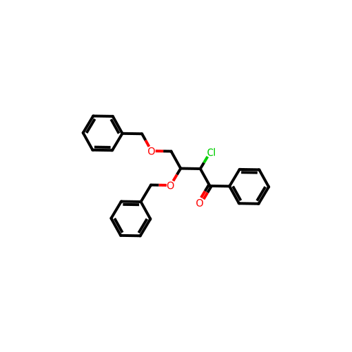 O=C(c1ccccc1)C(Cl)C(COCc1ccccc1)OCc1ccccc1